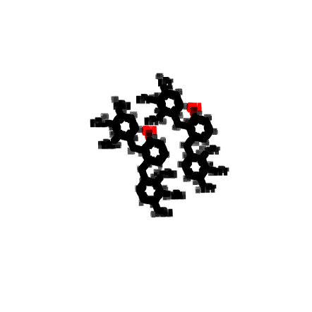 CCCCc1ccc(Cc2cccc(O)c2Cc2ccc(CCCC)c(CCCC)c2CCCC)c(CCCC)c1CCCC.CCCc1ccc(Cc2cccc(O)c2Cc2ccc(CCC)c(CCC)c2CCC)c(CCC)c1CCC